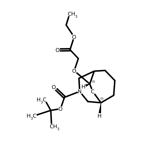 CCOC(=O)CO[C@H]1C[C@@H]2CCCC1CN(C(=O)OC(C)(C)C)C2